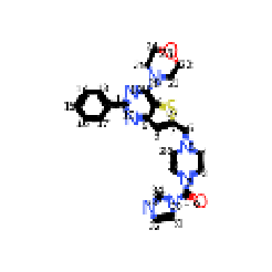 O=C(N1CCN(Cc2cc3nc(-c4ccccc4)nc(N4CCOCC4)c3s2)CC1)n1ccnc1